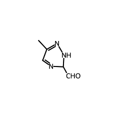 CC1=NNC(C=O)N=C1